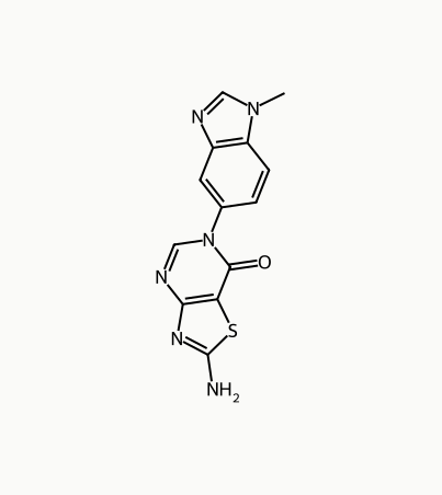 Cn1cnc2cc(-n3cnc4nc(N)sc4c3=O)ccc21